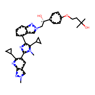 Cn1cc2cc(-c3nc(-c4cccc5nn(C[C@H](O)c6ccc(OCCC(C)(C)O)cc6)cc45)c(C4CC4)n3C)c(C3CC3)nc2n1